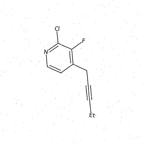 C[CH]C#CCc1ccnc(Cl)c1F